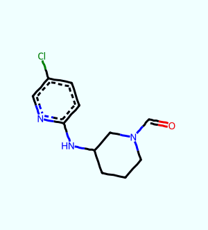 O=CN1CCCC(Nc2ccc(Cl)cn2)C1